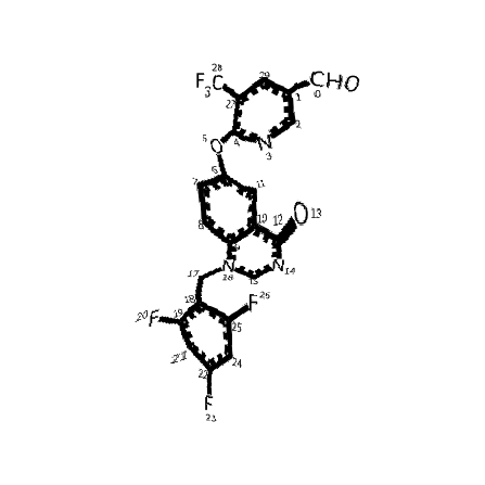 O=Cc1cnc(Oc2ccc3c(c2)c(=O)ncn3Cc2c(F)cc(F)cc2F)c(C(F)(F)F)c1